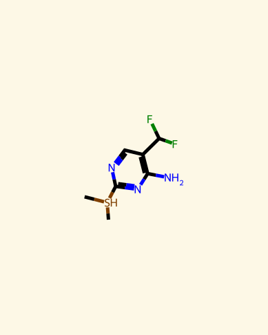 C[SH](C)c1ncc(C(F)F)c(N)n1